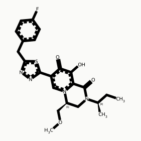 CC[C@@H](C)N1C[C@@H](COC)n2cc(-c3nnc(Cc4ccc(F)cc4)s3)c(=O)c(O)c2C1=O